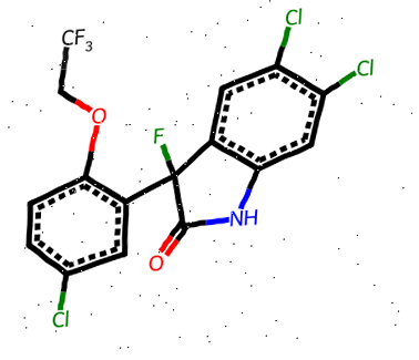 O=C1Nc2cc(Cl)c(Cl)cc2C1(F)c1cc(Cl)ccc1OCC(F)(F)F